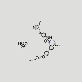 CCCCOCCOc1ccc(-c2ccc3c(c2)/C=C(/C(=O)Nc2ccc(SCc4cncn4CCC)cc2)CCCN3CC(C)C)cc1.CS(=O)(=O)O